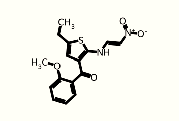 CCc1cc(C(=O)c2ccccc2OC)c(NC=C[N+](=O)[O-])s1